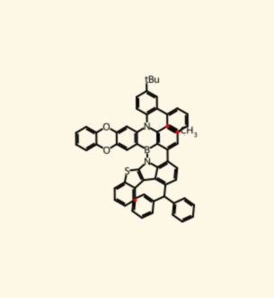 Cc1cc2c3c(c1)N(c1ccc(C(C)(C)C)cc1-c1ccccc1)c1cc4c(cc1B3n1c3sc5ccccc5c3c3c(C(c5ccccc5)c5ccccc5)ccc-2c31)Oc1ccccc1O4